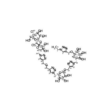 CCn1cc(CO[C@@H]2O[C@@H](Cn3cc(CO[C@@H]4O[C@@H](Cn5cc(COCc6cn(C[C@@H]7O[C@](CCl)(O[C@@H]8O[C@@H](CO)[C@H](Cl)[C@@H](O)[C@@H]8O)[C@H](O)[C@H]7O)nn6)nn5)[C@H](O)[C@@H](O)[C@H]4O)nn3)[C@H](O)[C@H](O)[C@@H]2O)nn1